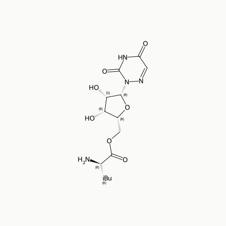 CC[C@@H](C)[C@@H](N)C(=O)OC[C@H]1O[C@@H](n2ncc(=O)[nH]c2=O)[C@@H](O)[C@H]1O